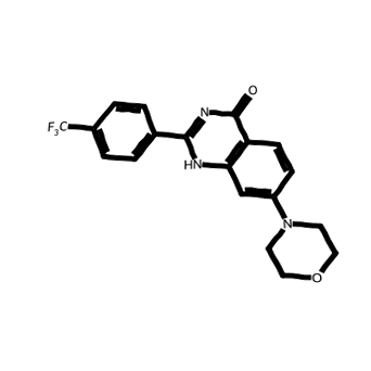 O=c1nc(-c2ccc(C(F)(F)F)cc2)[nH]c2cc(N3CCOCC3)ccc12